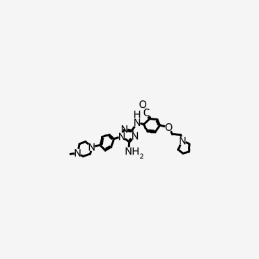 CN1CCN(c2ccc(-n3nc(NC4C=CC(OCCN5CCCC5)=CC4=C=O)nc3N)cc2)CC1